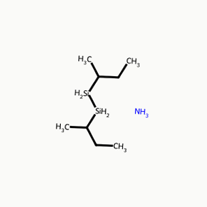 CCC(C)[SiH2][SiH2]C(C)CC.N